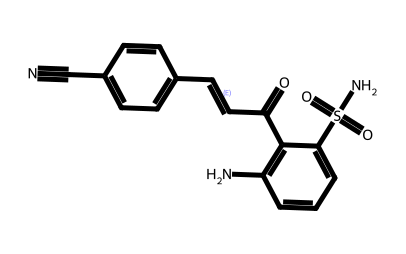 N#Cc1ccc(/C=C/C(=O)c2c(N)cccc2S(N)(=O)=O)cc1